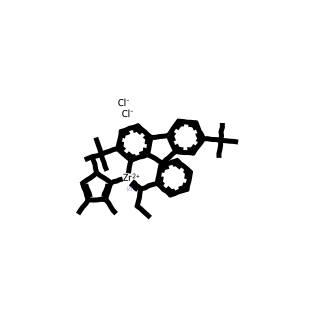 CC/[C](c1ccccc1)=[Zr+2](\[C]1=C(C)C(C)=CC1C)[c]1c(C(C)(C)C)ccc2c1Cc1cc(C(C)(C)C)ccc1-2.[Cl-].[Cl-]